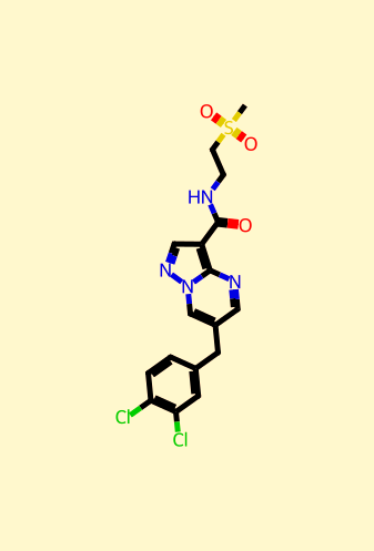 CS(=O)(=O)CCNC(=O)c1cnn2cc(Cc3ccc(Cl)c(Cl)c3)cnc12